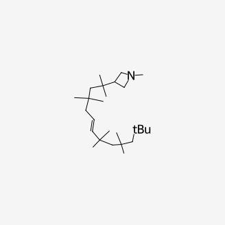 CN1CC(C(C)(C)CC(C)(C)C/C=C/C(C)(C)CC(C)(C)CC(C)(C)C)C1